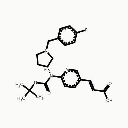 CC(C)(C)OC(=O)N(c1ccc(/C=C/C(=O)O)cn1)[C@@H]1CCN(Cc2ccc(F)cc2)C1